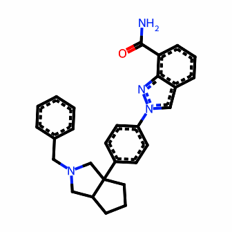 NC(=O)c1cccc2cn(-c3ccc(C45CCCC4CN(Cc4ccccc4)C5)cc3)nc12